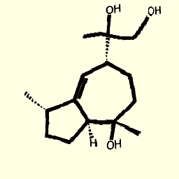 C[C@H]1CC[C@H]2C1=C[C@H](C(C)(O)CO)CC[C@]2(C)O